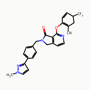 Cn1ccc(-c2ccc(CN3Cc4ccnc(OC5=C(C#N)CC(C(F)(F)F)C=C5)c4C3=O)cc2)n1